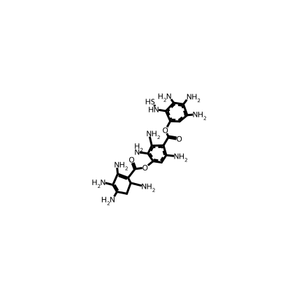 NC1=C(N)C(N)=C(C(=O)Oc2cc(N)c(C(=O)Oc3cc(N)c(N)c(N)c3NS)c(N)c2N)C(N)C1